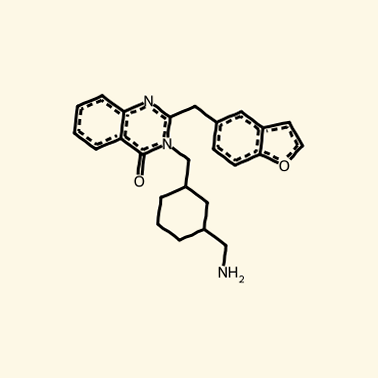 NCC1CCCC(Cn2c(Cc3ccc4occc4c3)nc3ccccc3c2=O)C1